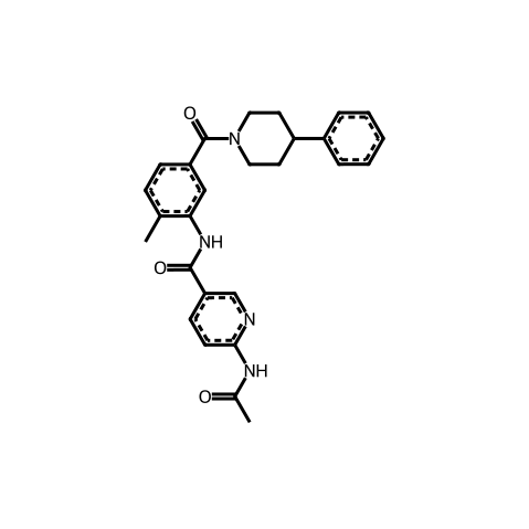 CC(=O)Nc1ccc(C(=O)Nc2cc(C(=O)N3CCC(c4ccccc4)CC3)ccc2C)cn1